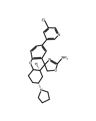 NC1=NC2(CO1)c1cc(-c3cncc(Cl)c3)ccc1OC1CC[C@@H](N3CCCC3)C[C@@H]12